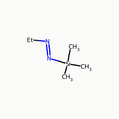 CCN=N[Si](C)(C)C